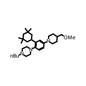 CCCCN1CCN(c2ccc(N3CCC(COC)CC3)cc2C2CC(C)(C)CC(C)(C)C2)CC1